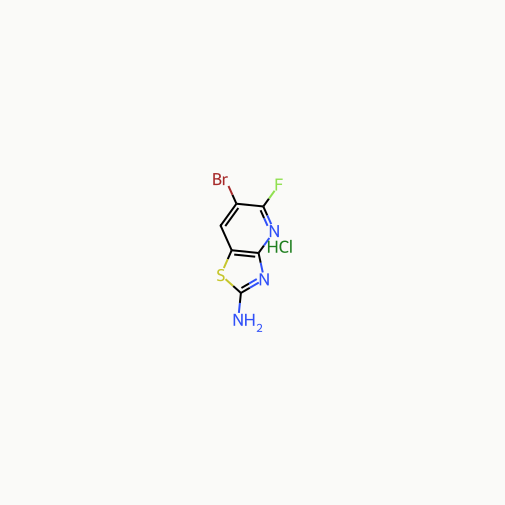 Cl.Nc1nc2nc(F)c(Br)cc2s1